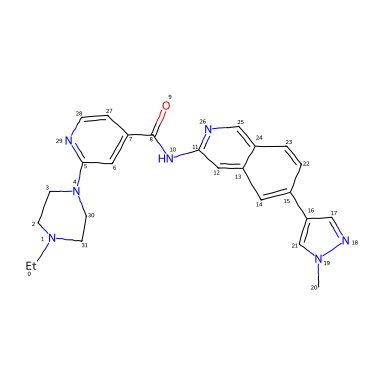 CCN1CCN(c2cc(C(=O)Nc3cc4cc(-c5cnn(C)c5)ccc4cn3)ccn2)CC1